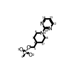 CS(=O)(=O)OCC1CCN(c2ncccn2)CC1